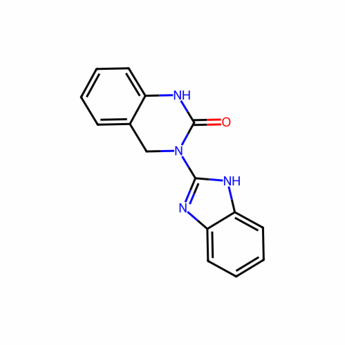 O=C1Nc2ccccc2CN1c1nc2ccccc2[nH]1